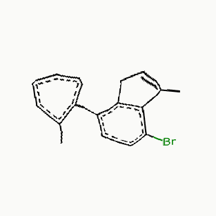 CC1=CCc2c(-c3ccccc3C)ccc(Br)c21